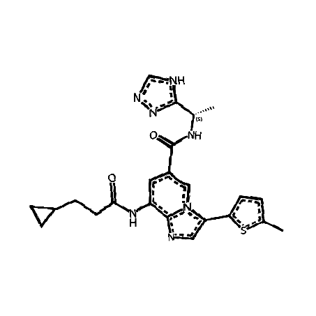 Cc1ccc(-c2cnc3c(NC(=O)CCC4CC4)cc(C(=O)N[C@@H](C)c4nnc[nH]4)cn23)s1